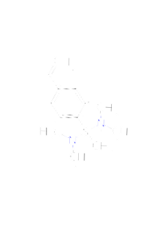 C=Cc1ccc([Si](C)(N(C)C)N(C)C)cc1